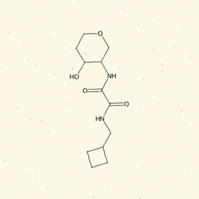 O=C(NCC1CCC1)C(=O)NC1COCCC1O